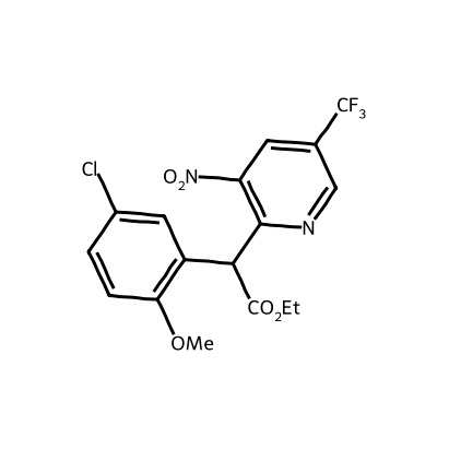 CCOC(=O)C(c1cc(Cl)ccc1OC)c1ncc(C(F)(F)F)cc1[N+](=O)[O-]